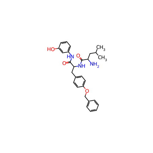 CC(C)CC(N)C(=O)NC(Cc1ccc(OCc2ccccc2)cc1)C(=O)Nc1cccc(O)c1